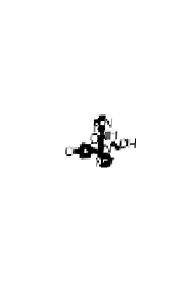 O=C(Nc1ncccn1)c1c(-c2ccc(Cl)cc2)c2ncccc2n1CCO